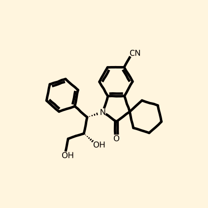 N#Cc1ccc2c(c1)C1(CCCCC1)C(=O)N2[C@@H](c1ccccc1)[C@H](O)CO